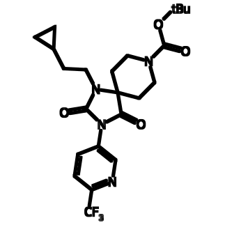 CC(C)(C)OC(=O)N1CCC2(CC1)C(=O)N(c1ccc(C(F)(F)F)nc1)C(=O)N2CCC1CC1